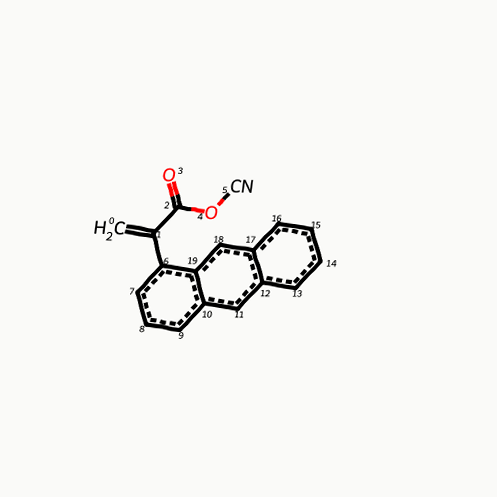 C=C(C(=O)OC#N)c1cccc2cc3ccccc3cc12